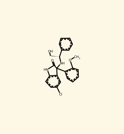 COc1ccccc1C1(N[C@H](CO)c2ccccc2)C(=O)Nc2ccc(Cl)cc21